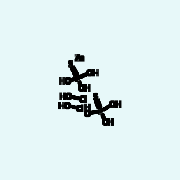 OCl.OCl.OP(O)(O)=S.OP(O)(O)=S.[Zn]